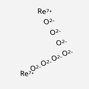 [O-2].[O-2].[O-2].[O-2].[O-2].[O-2].[O-2].[Re+7].[Re+7]